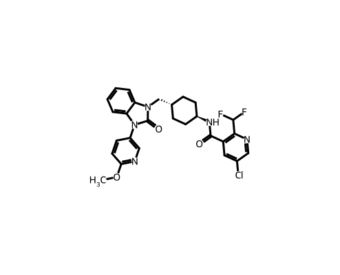 COc1ccc(-n2c(=O)n(C[C@H]3CC[C@H](NC(=O)c4cc(Cl)cnc4C(F)F)CC3)c3ccccc32)cn1